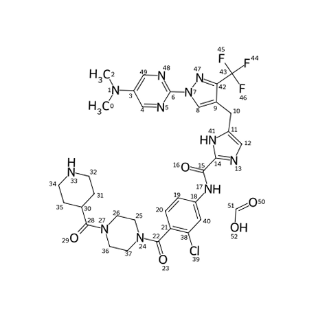 CN(C)c1cnc(-n2cc(Cc3cnc(C(=O)Nc4ccc(C(=O)N5CCN(C(=O)C6CCNCC6)CC5)c(Cl)c4)[nH]3)c(C(F)(F)F)n2)nc1.O=CO